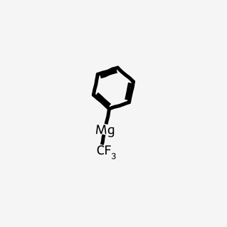 F[C](F)(F)[Mg][c]1ccccc1